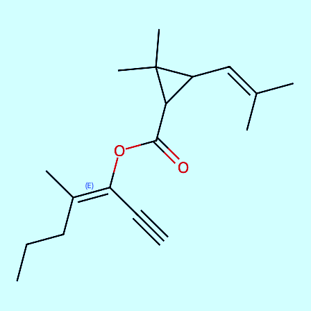 C#C/C(OC(=O)C1C(C=C(C)C)C1(C)C)=C(/C)CCC